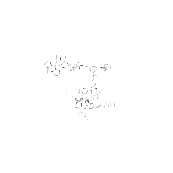 CC(=O)O.CC(C)(C#N)c1cc(Cn2cncn2)cc(C(C)(C)C#N)c1.CCC1(c2ccc(N)cc2)CCC(=O)NC1=O.COc1cc(NS(C)(=O)=O)ccc1Nc1c2ccccc2nc2ccccc12.Cc1ccc2c(c1O)N[C@@H](O)[C@@H]1CC(/C=C/C(N)=O)=CN1C2=O